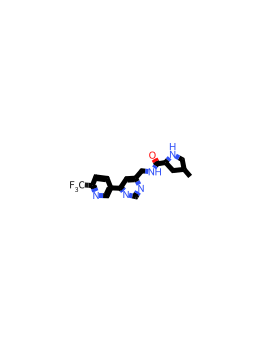 CC1CNC(C(=O)NCc2cc(-c3ccc(C(F)(F)F)nc3)ncn2)C1